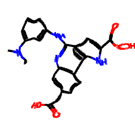 CN(C)c1cccc(Nc2nc3cc(C(=O)O)ccc3c3[nH]c(C(=O)O)cc23)c1